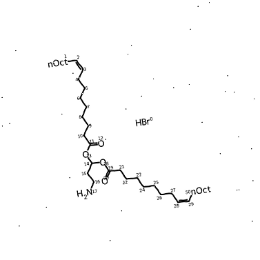 Br.CCCCCCCC/C=C\CCCCCCCC(=O)OC(CCN)OC(=O)CCCCCCC/C=C\CCCCCCCC